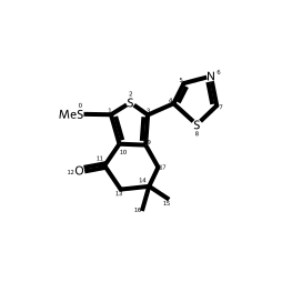 CSc1sc(-c2cncs2)c2c1C(=O)CC(C)(C)C2